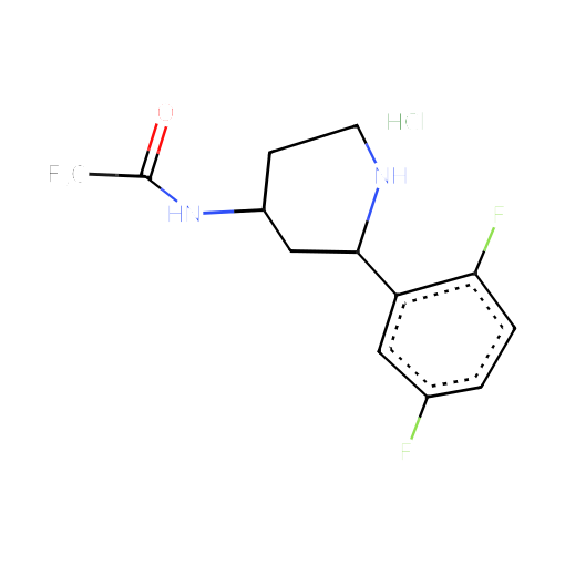 Cl.O=C(NC1CCNC(c2cc(F)ccc2F)C1)C(F)(F)F